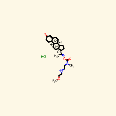 C/C(=N\OC(=O)N(C)CCNCCOC(F)(F)F)[C@H]1CC[C@H]2[C@@H]3CCC4=CC(=O)CC[C@]4(C)[C@H]3CC[C@]12C.Cl